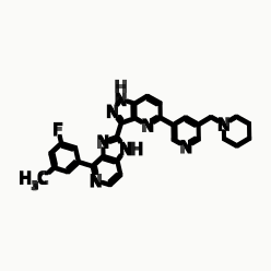 Cc1cc(F)cc(-c2nccc3[nH]c(-c4n[nH]c5ccc(-c6cncc(CN7CCCCC7)c6)nc45)nc23)c1